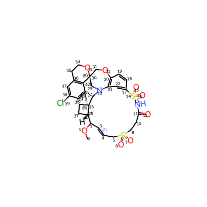 COC1/C=C/CS(=O)(=O)CCC(=O)NS(=O)(=O)c2ccc3c(c2)N(C[C@@H]2CC[C@@H]12)C[C@]1(CO3)OCCc2cc(Cl)ccc21